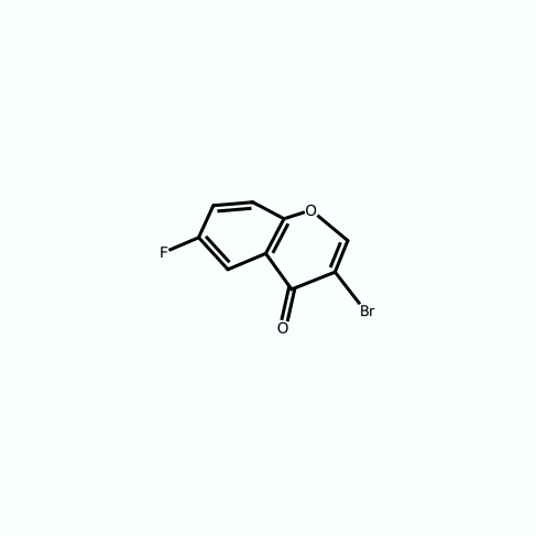 O=c1c(Br)coc2ccc(F)cc12